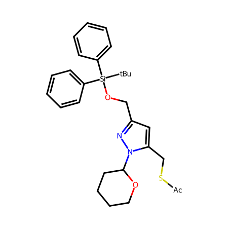 CC(=O)SCc1cc(CO[Si](c2ccccc2)(c2ccccc2)C(C)(C)C)nn1C1CCCCO1